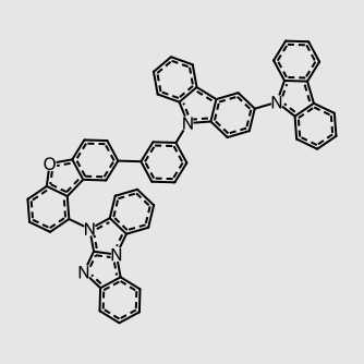 c1cc(-c2ccc3oc4cccc(-n5c6ccccc6n6c7ccccc7nc56)c4c3c2)cc(-n2c3ccccc3c3cc(-n4c5ccccc5c5ccccc54)ccc32)c1